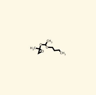 CCCCOC(C)OC1(C)CO1